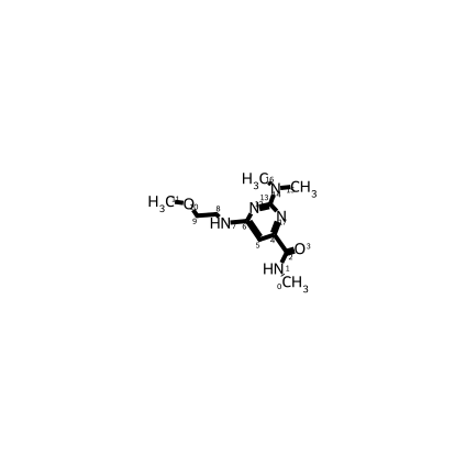 CNC(=O)c1cc(NCCOC)nc(N(C)C)n1